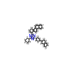 c1ccc(-c2nc(-c3ccc(-c4ccc5ccccc5c4)cc3)nc(-c3cccc4c3ccc3c5ccccc5ccc43)n2)cc1